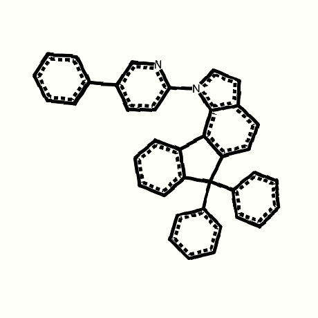 c1ccc(-c2ccc(-n3ccc4ccc5c(c43)-c3ccccc3C5(c3ccccc3)c3ccccc3)nc2)cc1